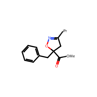 COC(=O)C1(Cc2ccccc2)CC(C(C)C)=NO1